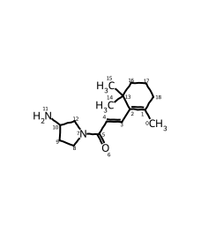 CC1=C(C=CC(=O)N2CCC(N)C2)C(C)(C)CCC1